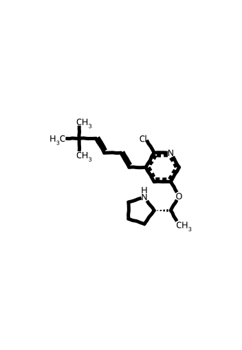 CC(Oc1cnc(Cl)c(C=CC=CC(C)(C)C)c1)[C@@H]1CCCN1